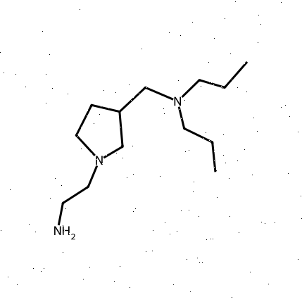 CCCN(CCC)CC1CCN(CCN)C1